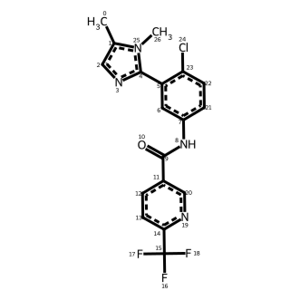 Cc1cnc(-c2cc(NC(=O)c3ccc(C(F)(F)F)nc3)ccc2Cl)n1C